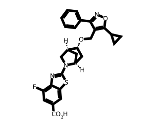 O=C(O)c1cc(F)c2nc(N3C[C@@H]4C[C@H]3C[C@H]4OCc3c(-c4ccccc4)noc3C3CC3)sc2c1